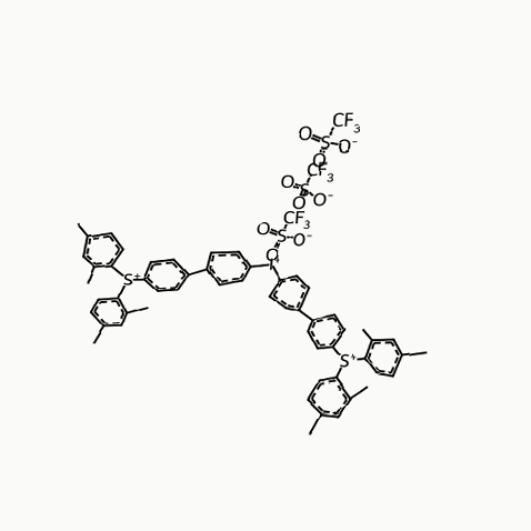 Cc1ccc([S+](c2ccc(-c3ccc([I+]c4ccc(-c5ccc([S+](c6ccc(C)cc6C)c6ccc(C)cc6C)cc5)cc4)cc3)cc2)c2ccc(C)cc2C)c(C)c1.O=S(=O)([O-])C(F)(F)F.O=S(=O)([O-])C(F)(F)F.O=S(=O)([O-])C(F)(F)F